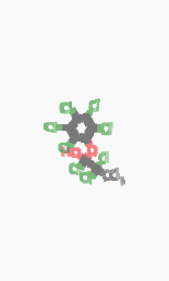 OC(Cl)(Oc1c(Cl)c(Cl)c(Cl)c(Cl)c1Cl)C(Cl)(Cl)C(Cl)(Cl)Cl